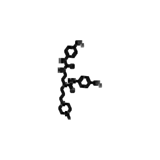 CN1CCN(CCCN(CCNC(=O)Nc2ccc(C(F)(F)F)cc2)C(=O)Nc2ccc(C(F)(F)F)cc2)CC1